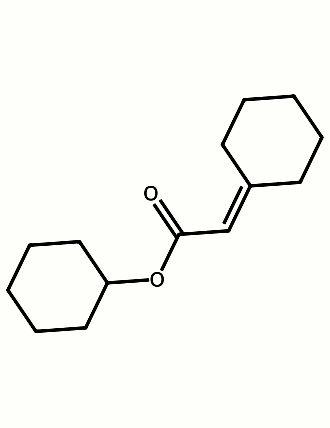 O=C(C=C1CCCCC1)OC1CCCCC1